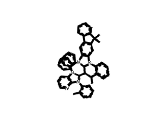 Cc1ccccc1N1c2ncccc2N(c2ccccc2)C1C1C(C)c2ccccc2N2c3cc4c(cc3N(c3ccccc3)C12)-c1ccccc1C4(C)C